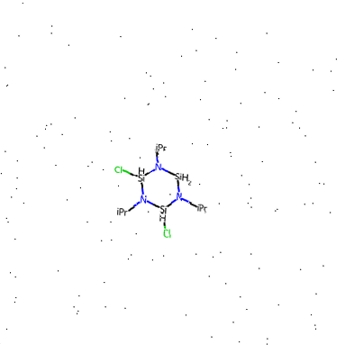 CC(C)N1[SiH2]N(C(C)C)[SiH](Cl)N(C(C)C)[SiH]1Cl